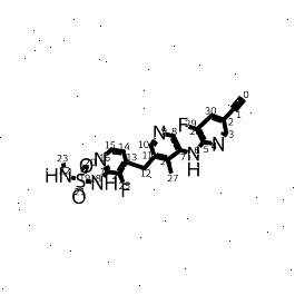 C#Cc1cnc(Nc2cncc(Cc3ccnc(NS(=O)(=O)NC)c3F)c2C)c(F)c1